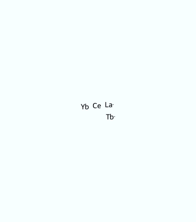 [Ce].[La].[Tb].[Yb]